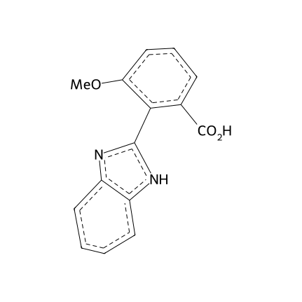 COc1cccc(C(=O)O)c1-c1nc2ccccc2[nH]1